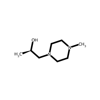 [CH2][C@@H](O)CN1CCN(C)CC1